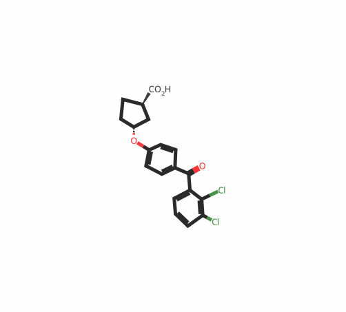 O=C(c1ccc(O[C@@H]2CC[C@@H](C(=O)O)C2)cc1)c1cccc(Cl)c1Cl